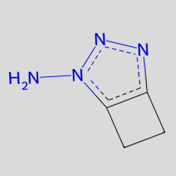 Nn1nnc2c1CC2